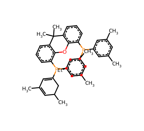 CCc1cc(C)cc(P(c2cc(C)cc(C)c2)c2cccc3c2Oc2c(P(C4=CC(C)=CC(C)C4)c4cccc(C)c4)cccc2C3(C)C)c1